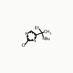 CCCCC(C)(CC)c1cnc(Cl)s1